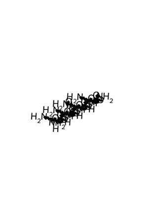 COc1ccc(NC(=O)[C@H](CCCCN)NC(=O)c2cc(NC(=O)[C@H](CCCNC(N)=O)NC(=O)c3cc(NC(=O)[C@H](CCCCN)NC(=O)c4cc(NC(=O)[C@@H](N)CCCCN)ccc4OC)ccc3OC)ccc2OC)cc1C(N)=O